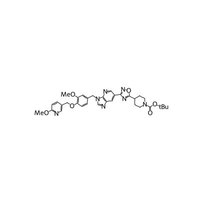 COc1ccc(COc2ccc(Cn3cnc4cc(-c5noc(C6CCN(C(=O)OC(C)(C)C)CC6)n5)cnc43)cc2OC)cn1